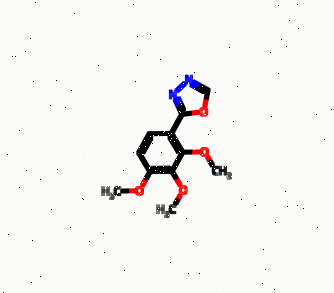 COc1ccc(-c2nnco2)c(OC)c1OC